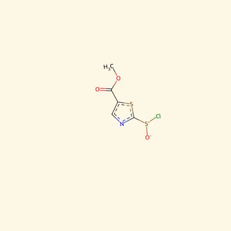 COC(=O)c1cnc([S+]([O-])Cl)s1